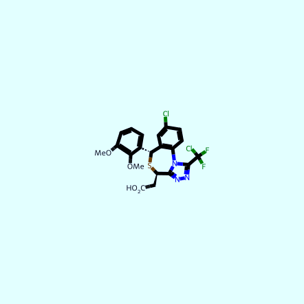 COc1cccc([C@H]2S[C@H](CC(=O)O)c3nnc(C(F)(F)Cl)n3-c3ccc(Cl)cc32)c1OC